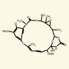 COc1cc2cc(c1Cl)N(C)C(=O)CC(N=O)C1(C)OC1C(C)C1CC(N=O)(NC(=O)O1)C(OC)/C=C/C=C(\C)C2